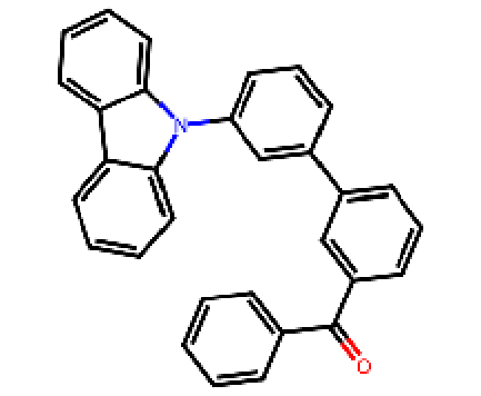 O=C(c1ccccc1)c1cccc(-c2cccc(-n3c4ccccc4c4ccccc43)c2)c1